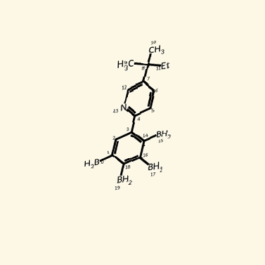 Bc1cc(-c2ccc(C(C)(C)CC)cn2)c(B)c(B)c1B